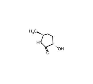 C[C@H]1CC[C@H](O)C(=O)N1